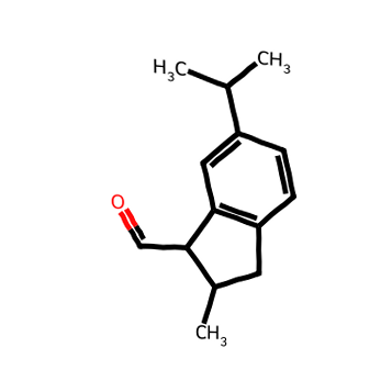 CC(C)c1ccc2c(c1)C(C=O)C(C)C2